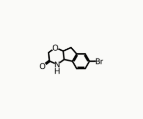 O=C1COC2Cc3cc(Br)ccc3C2N1